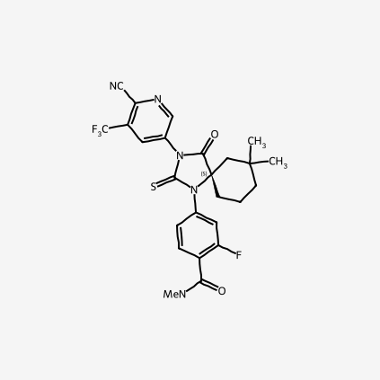 CNC(=O)c1ccc(N2C(=S)N(c3cnc(C#N)c(C(F)(F)F)c3)C(=O)[C@@]23CCCC(C)(C)C3)cc1F